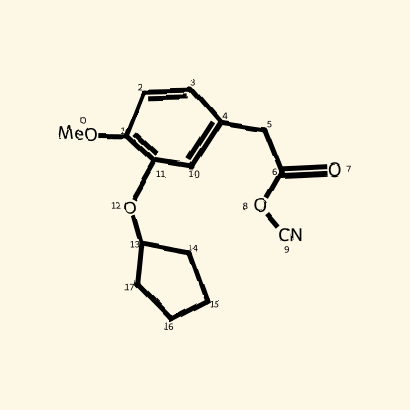 COc1ccc(CC(=O)OC#N)cc1OC1CCCC1